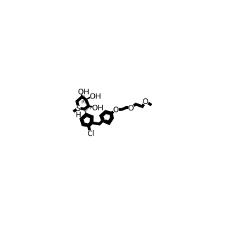 COCCOCCOc1ccc(Cc2cc([C@H]3[C@H](O)[C@H](O)[C@H](O)C[SH]3C)ccc2Cl)cc1